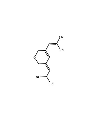 N#CC(C#N)=CC1=C/C(=C/C(C#N)C#N)COC1